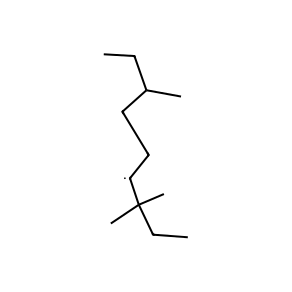 CCC(C)CC[CH]C(C)(C)CC